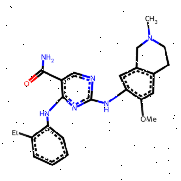 CCc1ccccc1Nc1nc(Nc2cc3c(cc2OC)CCN(C)C3)ncc1C(N)=O